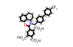 O=C(O)c1cc(C(=O)O)c(C(=O)N(Cc2ccc(-c3ccc(C(F)(F)F)cc3)cc2)C2CCCc3ccccc32)cc1C(=O)O